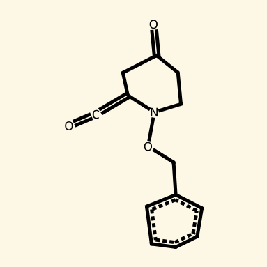 O=C=C1CC(=O)CCN1OCc1ccccc1